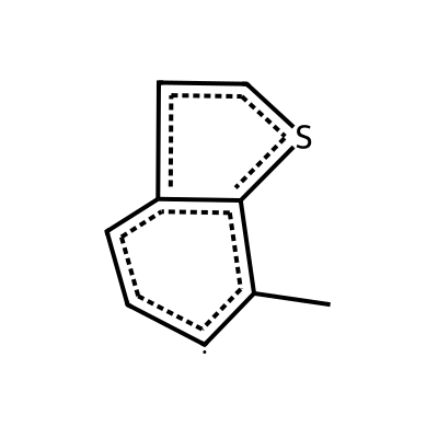 Cc1[c]ccc2ccsc12